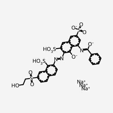 O=S(=O)([O-])c1cc(N=C([O-])c2ccccc2)c2c([O-])c(N=Nc3ccc4ccc(S(=O)(=O)CCO)cc4c3S(=O)(=O)O)c(S(=O)(=O)O)cc2c1.[Na+].[Na+].[Na+]